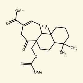 COC(=O)OCC12CCC3C(C)(C)CCCC3(C)C1CC=C(C(=O)OC)CC2=O